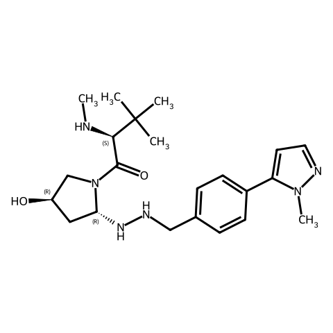 CN[C@H](C(=O)N1C[C@H](O)C[C@H]1NNCc1ccc(-c2ccnn2C)cc1)C(C)(C)C